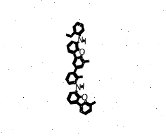 CCc1ccccc1N(I)c1cccc2c1oc1c(C)cc(-c3cccc(N(I)c4cccc5c4oc4c(C)cccc45)c3C)cc12